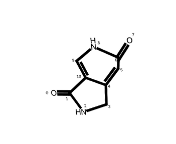 O=C1NCc2cc(=O)[nH]cc21